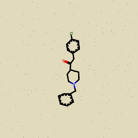 O=C(Cc1ccc(Cl)cc1)C1CCN(Cc2ccccc2)CC1